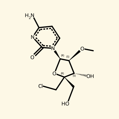 CO[C@@H]1[C@H](n2ccc(N)nc2=O)O[C@@](CO)(CCl)[C@H]1O